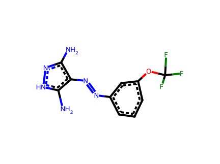 Nc1n[nH]c(N)c1N=Nc1cccc(OC(F)(F)F)c1